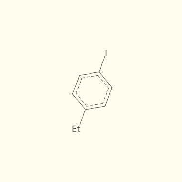 CCc1[c]cc(I)cc1